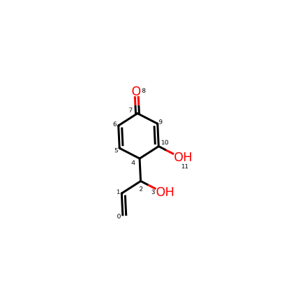 C=CC(O)C1C=CC(=O)C=C1O